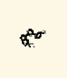 OC1CCCN(c2ccnc(-c3cnc4cnc(C(F)(F)F)cn34)n2)C1